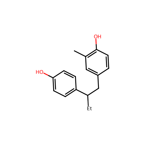 CCC(Cc1ccc(O)c(C)c1)c1ccc(O)cc1